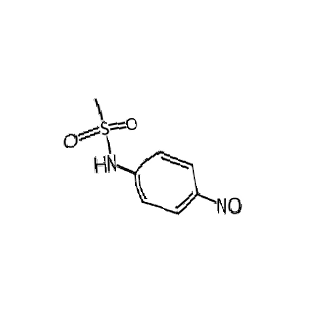 CS(=O)(=O)Nc1ccc(N=O)cc1